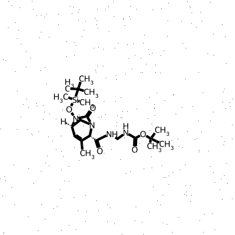 CC1=C[C@@H]2CN(C(=O)N2O[Si](C)(C)C(C)(C)C)[C@@H]1C(=O)NCNC(=O)OC(C)(C)C